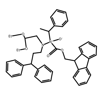 CCOC(CN(CCC(c1ccccc1)c1ccccc1)[N+]([O-])(C(=O)OCC1c2ccccc2-c2ccccc21)C(C)c1ccccc1)OCC